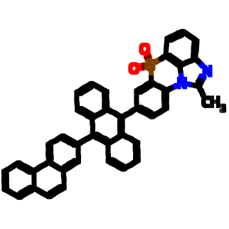 Cc1nc2cccc3c2n1-c1ccc(-c2c4ccccc4c(-c4ccc5c(ccc6ccccc65)c4)c4ccccc24)cc1S3(=O)=O